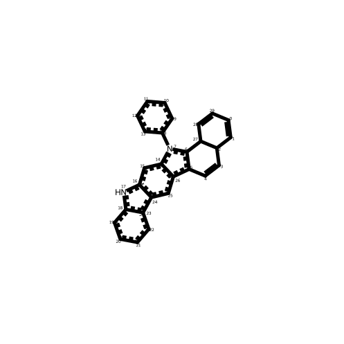 C1=CC2C=Cc3c(n(-c4ccccc4)c4cc5[nH]c6ccccc6c5cc34)C2C=C1